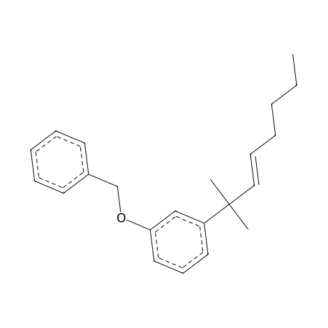 CCCC/C=C/C(C)(C)c1cccc(OCc2ccccc2)c1